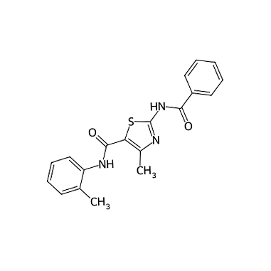 Cc1ccccc1NC(=O)c1sc(NC(=O)c2ccccc2)nc1C